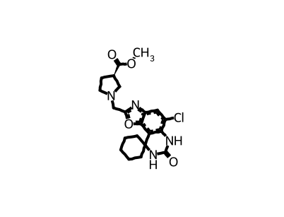 COC(=O)[C@@H]1CCN(Cc2nc3cc(Cl)c4c(c3o2)C2(CCCCC2)NC(=O)N4)C1